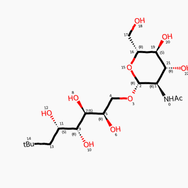 CC(=O)N[C@H]1[C@H](OC[C@@H](O)[C@H](O)[C@H](O)[C@@H](O)CC(C)(C)C)O[C@H](CO)[C@@H](O)[C@@H]1O